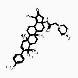 CC(C)C1=C2C3CCC4C(C)(CCC5C(C)(C)C(c6ccc(C(=O)O)cc6)=CCC54C)C3CCC2(NC(=O)CN2CC[S+]([O-])CC2)CC1=O